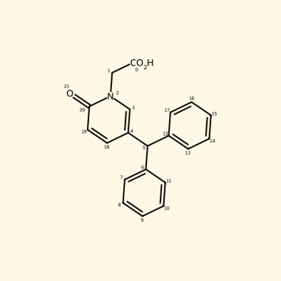 O=C(O)Cn1cc(C(c2ccccc2)c2ccccc2)ccc1=O